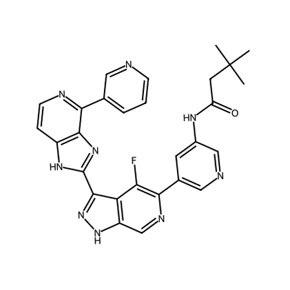 CC(C)(C)CC(=O)Nc1cncc(-c2ncc3[nH]nc(-c4nc5c(-c6cccnc6)nccc5[nH]4)c3c2F)c1